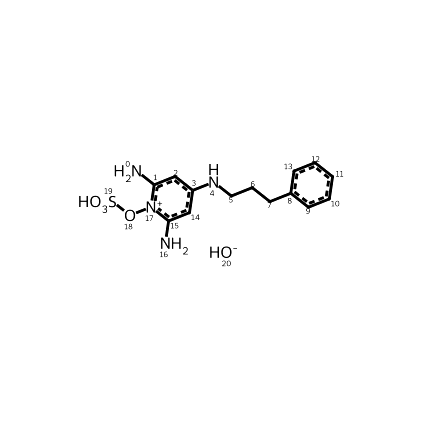 Nc1cc(NCCCc2ccccc2)cc(N)[n+]1OS(=O)(=O)O.[OH-]